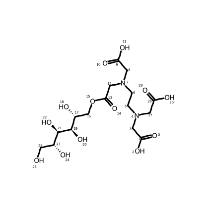 O=C(O)CN(CCN(CC(=O)O)CC(=O)OC[C@@H](O)[C@@H](O)[C@H](O)[C@H](O)CO)CC(=O)O